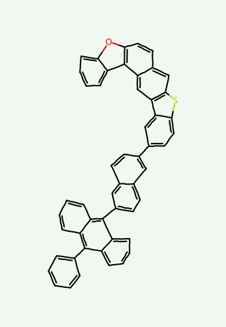 c1ccc(-c2c3ccccc3c(-c3ccc4cc(-c5ccc6sc7cc8ccc9oc%10ccccc%10c9c8cc7c6c5)ccc4c3)c3ccccc23)cc1